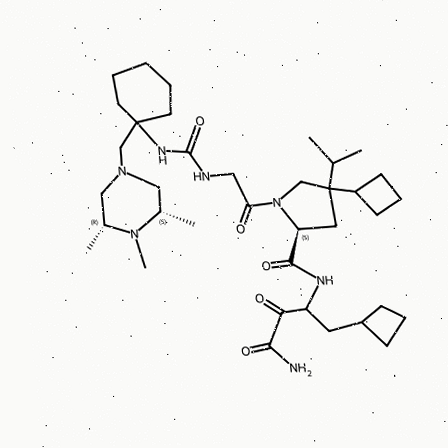 CC(C)C1(C2CCC2)C[C@@H](C(=O)NC(CC2CCC2)C(=O)C(N)=O)N(C(=O)CNC(=O)NC2(CN3C[C@@H](C)N(C)[C@@H](C)C3)CCCCC2)C1